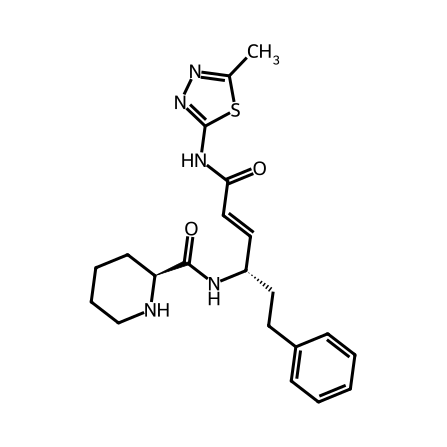 Cc1nnc(NC(=O)C=C[C@H](CCc2ccccc2)NC(=O)[C@@H]2CCCCN2)s1